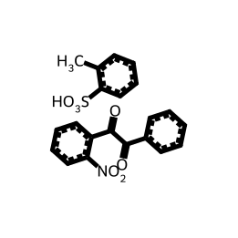 Cc1ccccc1S(=O)(=O)O.O=C(C(=O)c1ccccc1[N+](=O)[O-])c1ccccc1